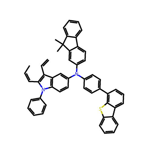 C=Cc1c(/C=C\C)n(-c2ccccc2)c2ccc(N(c3ccc(-c4cccc5c4sc4ccccc45)cc3)c3ccc4c(c3)C(C)(C)c3ccccc3-4)cc12